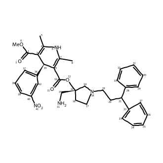 COC(=O)C1=C(C)NC(C)=C(C(=O)O[C@@]2(CN)CCN(CCC(c3ccccc3)c3ccccc3)C2)[C@H]1c1cccc([N+](=O)[O-])c1